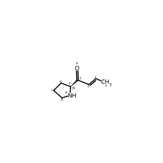 CC=CC(=O)[C@@H]1CCCN1